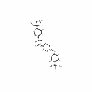 COC1(c2ccc(C(C)(C)C(=O)N3CCC(Oc4ccc(C(F)(F)F)cc4)CC3)cc2)COC1